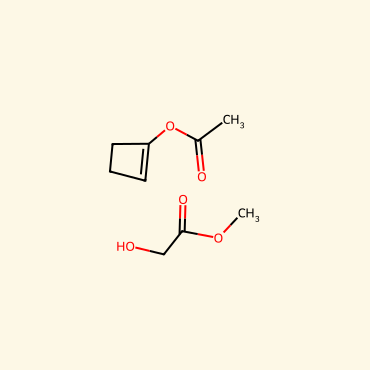 CC(=O)OC1=CCC1.COC(=O)CO